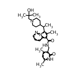 Cc1cc(C)c(CNC(=O)c2c(C)c(C(C)C3CCN(CC(C)(C)O)CC3)n3ncccc23)c(=O)[nH]1